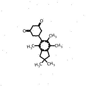 Cc1c(C)c(C2CC(=O)CC(=O)C2)c(C)c2c1CC(C)(C)C2